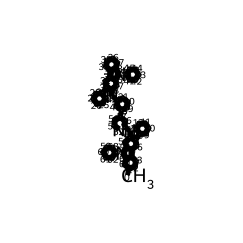 Cc1ccc2c3cc4c5ccccc5n(-c5cc(-c6cccc(-n7c8ccccc8c8cc9c%10ccccc%10n(-c%10ccccc%10)c9cc87)c6)ccn5)c4cc3n(-c3ccccc3)c2c1